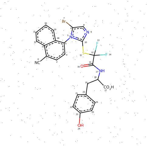 N#Cc1ccc(-n2c(Br)cnc2SC(F)(F)C(=O)NC(Cc2ccc(O)cc2)C(=O)O)c2ccccc12